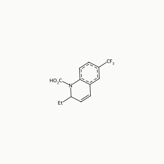 CCC1C=Cc2cc(C(F)(F)F)ccc2N1C(=O)O